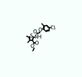 CCOC(=O)c1c(NC(=O)COc2ccc(Cl)cc2C)sc(C)c1C